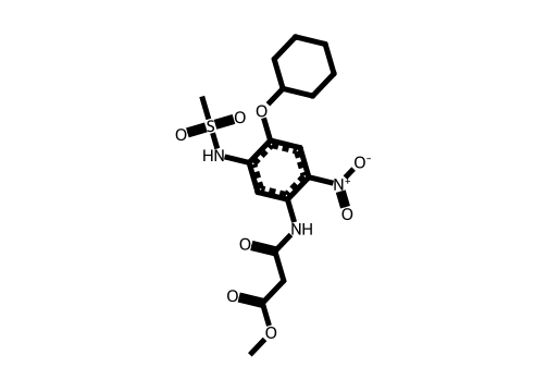 COC(=O)CC(=O)Nc1cc(NS(C)(=O)=O)c(OC2CCCCC2)cc1[N+](=O)[O-]